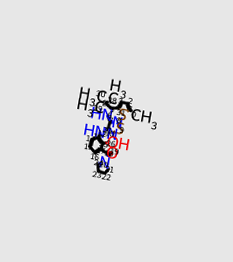 Cc1ccc(C(Nc2nsnc2Nc2cccc(C(=O)N3CCCC3)c2O)C(C)(C)C)s1